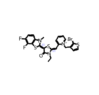 CCn1c(=O)/c(=C2\Sc3c(ccc(F)c3F)N2C)s/c1=C\c1cccc[n+]1Cc1ccsc1Br